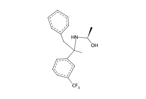 C[C@@H](O)NC(C)(Cc1ccccc1)c1cccc(C(F)(F)F)c1